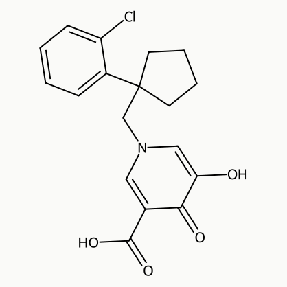 O=C(O)c1cn(CC2(c3ccccc3Cl)CCCC2)cc(O)c1=O